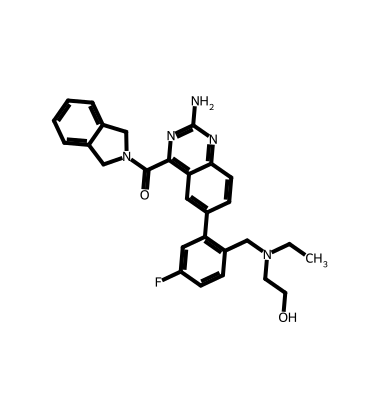 CCN(CCO)Cc1ccc(F)cc1-c1ccc2nc(N)nc(C(=O)N3Cc4ccccc4C3)c2c1